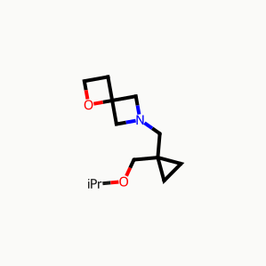 CC(C)OCC1(CN2CC3(CCO3)C2)CC1